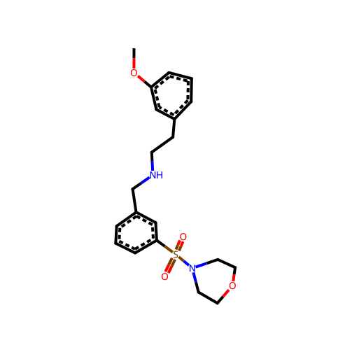 COc1cccc(CCNCc2cccc(S(=O)(=O)N3CCOCC3)c2)c1